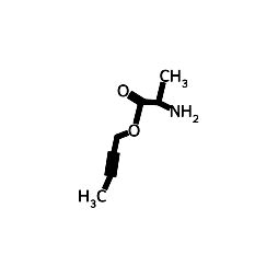 CC#CCOC(=O)C(C)N